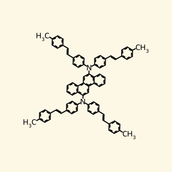 Cc1ccc(C=Cc2ccc(N(c3ccc(C=Cc4ccc(C)cc4)cc3)c3cc4c5ccccc5c(N(c5ccc(C=Cc6ccc(C)cc6)cc5)c5ccc(C=Cc6ccc(C)cc6)cc5)cc4c4ccccc34)cc2)cc1